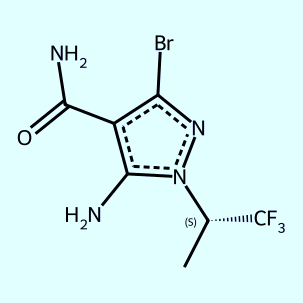 C[C@H](n1nc(Br)c(C(N)=O)c1N)C(F)(F)F